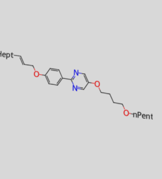 CCCCCCCC=CCOc1ccc(-c2ncc(OCCCCOCCCCC)cn2)cc1